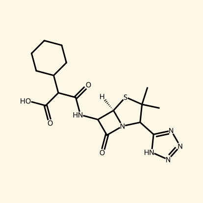 CC1(C)S[C@@H]2C(NC(=O)C(C(=O)O)C3CCCCC3)C(=O)N2C1c1nnn[nH]1